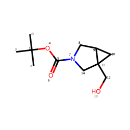 CC(C)(C)OC(=O)N1CC2CC2(CO)C1